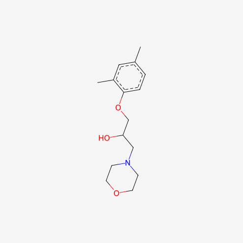 Cc1ccc(OCC(O)CN2CCOCC2)c(C)c1